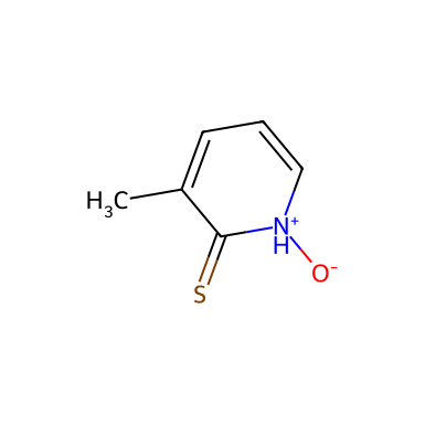 CC1=CC=C[NH+]([O-])C1=S